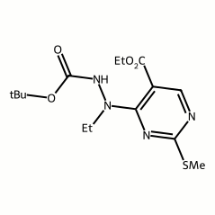 CCOC(=O)c1cnc(SC)nc1N(CC)NC(=O)OC(C)(C)C